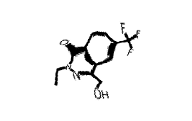 CCn1nc(CO)c2cc(C(F)(F)F)ccc2c1=O